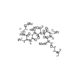 CCCCN(CC(=O)N(C)[C@@H](CC(C)C)C(=O)N[C@H](C)COC(C)(C)C)C(=O)[C@@H](NC(=O)[C@H](CC(C)C)N(C)C(=O)[C@H](COCCN(C)C)NC)C(C)O